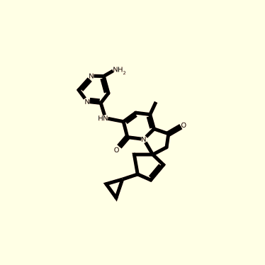 Cc1cc(Nc2cc(N)ncn2)c(=O)n2c1C(=O)CC21C=CC(C2CC2)C1